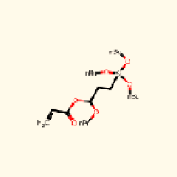 C=CC(=O)OC(CC[Si](OCCCC)(OCCCC)OCCCC)OCCC